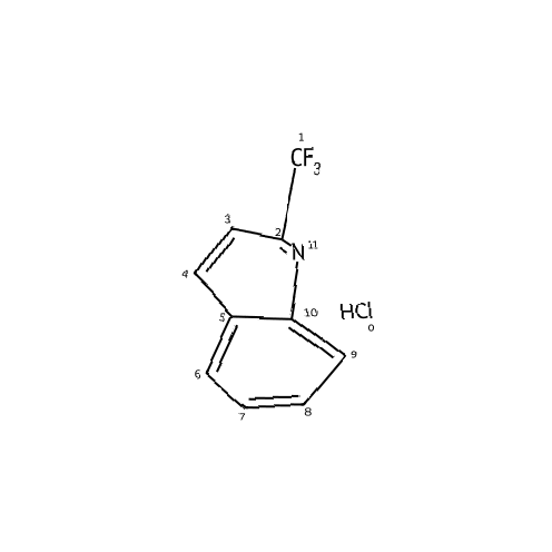 Cl.FC(F)(F)c1ccc2ccccc2n1